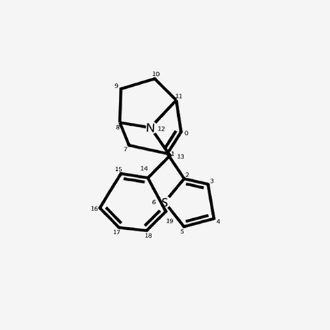 C1=C(c2cccs2)CC2CCC1N2Cc1ccccc1